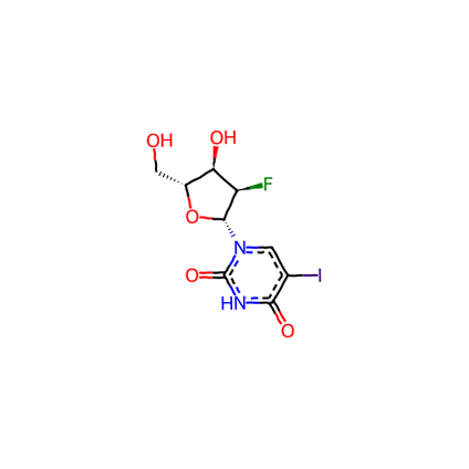 O=c1[nH]c(=O)n([C@@H]2O[C@H](CO)[C@@H](O)[C@H]2F)cc1I